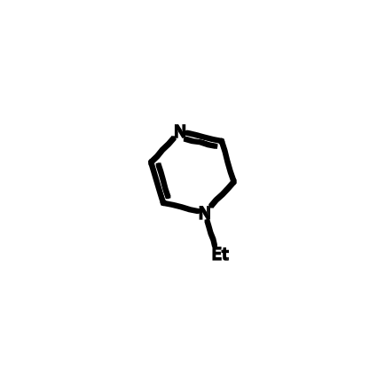 CCN1C=CN=CC1